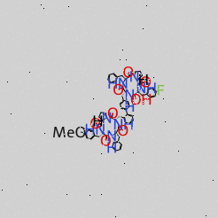 COc1ccc(C[C@@H]2NC(=O)[C@H]3CCCN3C(=O)[C@H](Cc3ccccc3-c3ccc(C[C@H]4NC(O)[C@H](Cc5ccc(F)cc5)NC(=O)[C@H]5CCCN5C(=O)[C@H](Cc5ccccc5)NC4=O)cc3)NC(=O)[C@@H](Cc3ccccc3)NC2=O)cc1